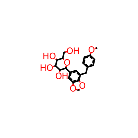 COc1ccc(Cc2cc(C3OC(CO)C(O)C(O)C3O)cc3c2OCO3)cc1